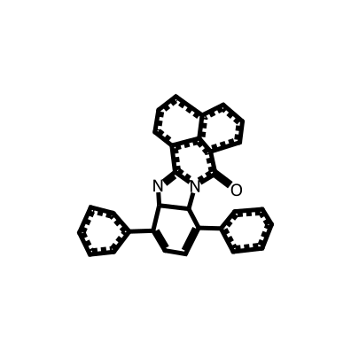 O=c1c2cccc3cccc(c4n1C1C(c5ccccc5)=CC=C(c5ccccc5)C1N=4)c32